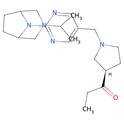 CCC(=O)[C@@H]1CCN(Cc2cnc(N3C4CCC3CN(C(C)C)C4)nc2)C1